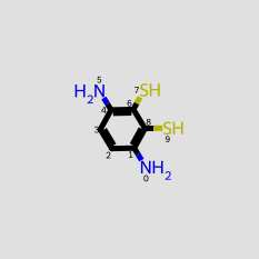 Nc1ccc(N)c(S)c1S